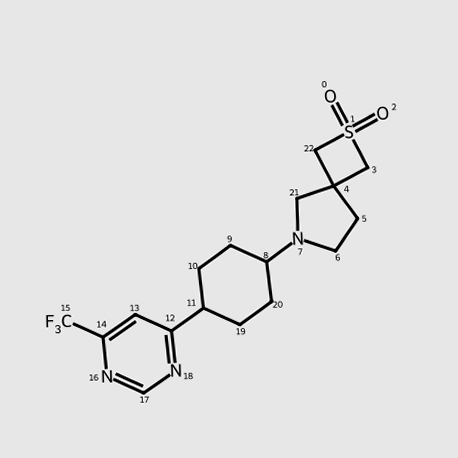 O=S1(=O)CC2(CCN(C3CCC(c4cc(C(F)(F)F)ncn4)CC3)C2)C1